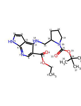 CCOC(=O)c1cnc2[nH]ccc2c1NCC1CCCN1C(=O)OC(C)(C)C